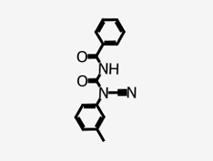 Cc1cccc(N(C#N)C(=O)NC(=O)c2ccccc2)c1